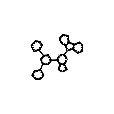 c1ccc(-c2cc(-c3ccccc3)cc(-c3nc(-n4c5ccccc5c5ccccc54)nc4cocc34)c2)cc1